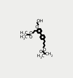 C=C(C)C(=O)OCCCCc1ccc(-c2ccc(OCCO)c(CCOC(=O)C(=C)C)c2)cc1